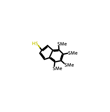 CSc1c(SC)c(SC)c2cc(S)ccc2c1SC